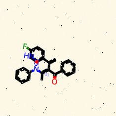 C=C(/C(C(=O)c1ccccc1)=C(/C)N(N=N)c1ccccc1)c1ccc(F)cc1